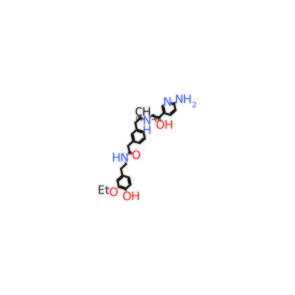 CCOc1cc(CCNC(=O)Cc2cccc(C[C@@H](C)NC[C@H](O)c3ccc(N)nc3)c2)ccc1O